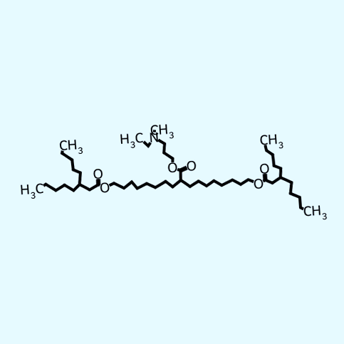 CCCCCC(CCCCC)CC(=O)OCCCCCCCCC(CCCCCCCCOC(=O)CC(CCCCC)CCCCC)C(=O)OCCCN(C)CC